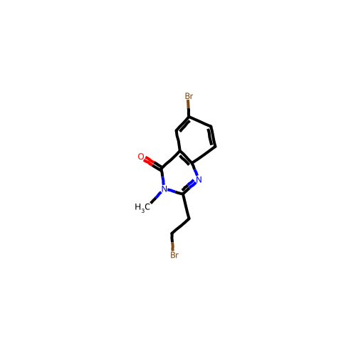 Cn1c(CCBr)nc2ccc(Br)cc2c1=O